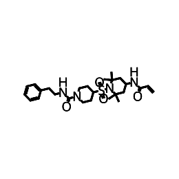 C=CC(=O)NC1CC(C)(C)N(S(=O)(=O)C2CCN(C(=O)NCCc3ccccc3)CC2)C(C)(C)C1